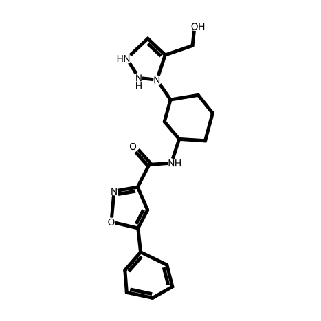 O=C(NC1CCCC(N2NNC=C2CO)C1)c1cc(-c2ccccc2)on1